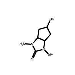 CCCN1C(=O)N(N)C2CC(O)CC21